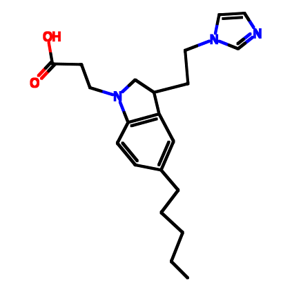 CCCCCc1ccc2c(c1)C(CCn1ccnc1)CN2CCC(=O)O